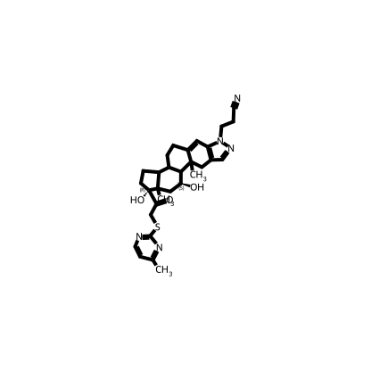 Cc1ccnc(SCC(=O)[C@@]2(O)CCC3C4CCC5=Cc6c(cnn6CCC#N)CC5(C)C4[C@@H](O)CC32C)n1